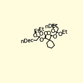 CCCCCCCCCCCC(OCC)(OCC)OC(=O)C1(C(=O)OC(CCCCCCCCCCC)(OCC)OCC)CCCCC1